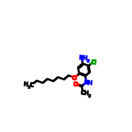 CCCCCCCCOc1cc(N)c(Cl)cc1NC(C)=O